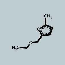 CCOCc1ccc(C)o1